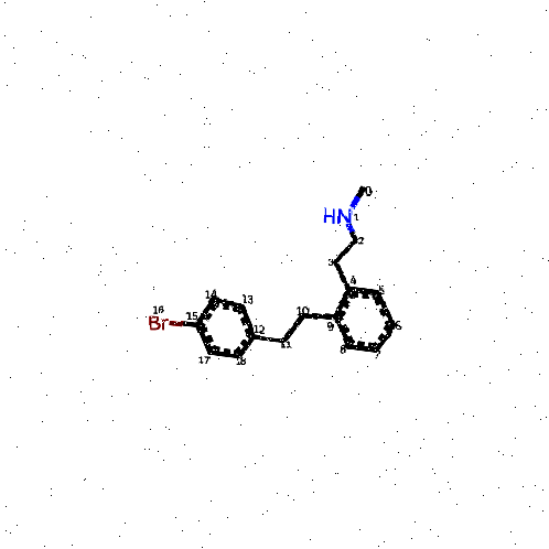 CNCCc1ccccc1CCc1ccc(Br)cc1